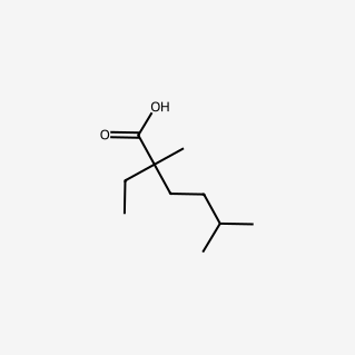 CCC(C)(CCC(C)C)C(=O)O